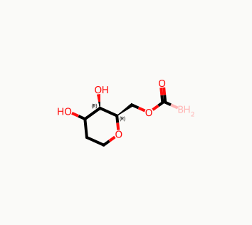 BC(=O)OC[C@H]1OCCC(O)[C@H]1O